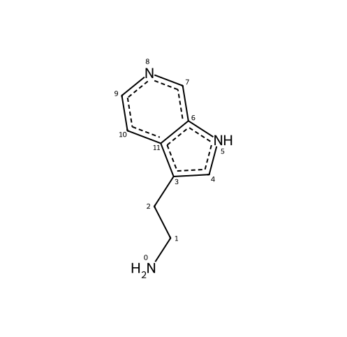 NCCc1c[nH]c2cnccc12